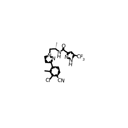 Cc1c(-c2ccn(C[C@H](C)NC(=O)c3cc(C(F)(F)F)[nH]n3)n2)ccc(C#N)c1Cl